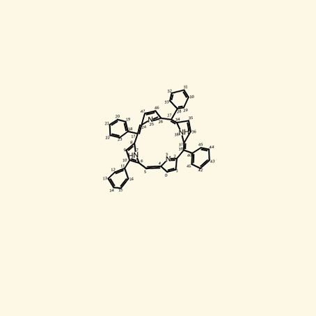 C1=Cc2nc1cc1[nH]c(cc1-c1ccccc1)c(-c1ccccc1)c1nc(c(-c3ccccc3)c3ccc([nH]3)c2-c2ccccc2)C=C1